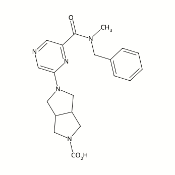 CN(Cc1ccccc1)C(=O)c1cncc(N2CC3CN(C(=O)O)CC3C2)n1